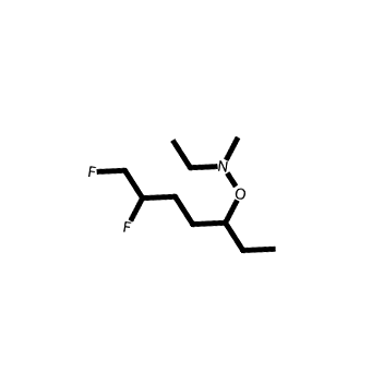 CCC(CCC(F)CF)ON(C)CC